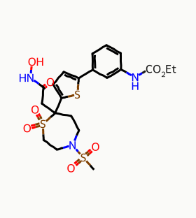 CCOC(=O)Nc1cccc(-c2ccc(C3(CC(=O)NO)CCN(S(C)(=O)=O)CCS3(=O)=O)s2)c1